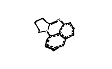 c1cc2c3c(cccc3c1)N1CCCC1=N2